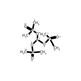 CP(C)(=O)OB(OP(C)(C)=O)OP(C)(C)=O